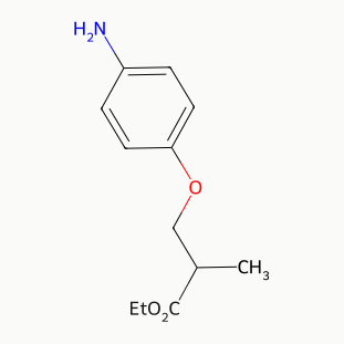 CCOC(=O)C(C)COc1ccc(N)cc1